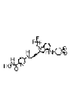 O=C(NO)c1ccc(NCC#Cc2cc3c(NC4CCS(=O)(=O)CC4)cccc3n2CC(F)(F)F)cn1